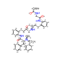 COC(=O)NCC(=O)Nc1ccccc1CC[C@@H]1CO[C@H](CCc2ccccc2NC(=O)[C@H](C(c2ccccc2)c2ccccc2)N(C)C(=O)O)CN1